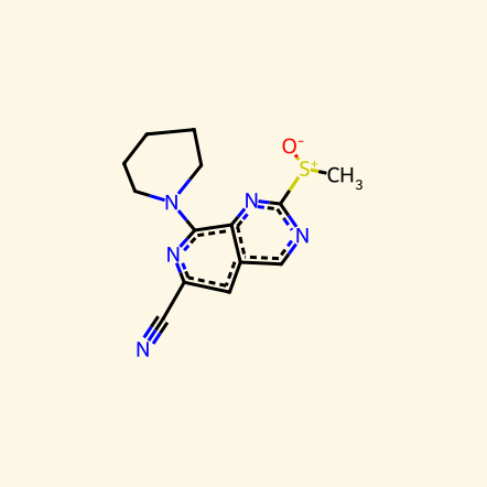 C[S+]([O-])c1ncc2cc(C#N)nc(N3CCCCC3)c2n1